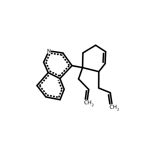 C=CCC1C=CCCC1(CC=C)c1cncc2ccccc12